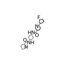 CN1CCCCC1C(=O)N[C@H]1CC[C@@H](NC(=O)c2ccc(-c3cccc(F)c3)nc2)CC1